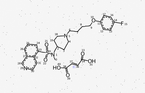 CN(C1CCN(CCCCOc2ccc(F)cc2)CC1)S(=O)(=O)c1cccc2cnccc12.O=C(O)/C=C/C(=O)O